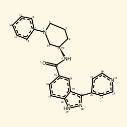 O=C(N[C@@H]1CCCN(c2ccccc2)C1)c1ccc2[nH]nc(-c3ccncc3)c2c1